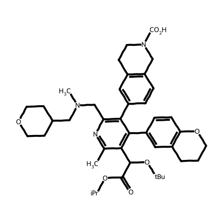 Cc1nc(CN(C)CC2CCOCC2)c(-c2ccc3c(c2)CCN(C(=O)O)C3)c(-c2ccc3c(c2)CCCO3)c1C(OC(C)(C)C)C(=O)OC(C)C